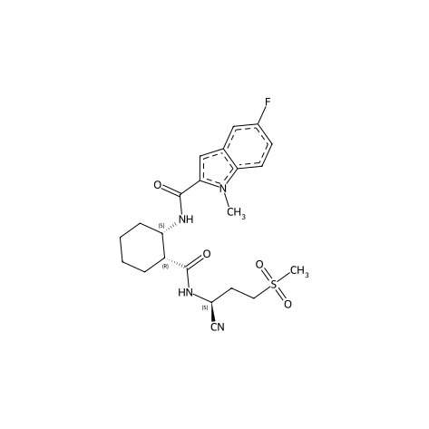 Cn1c(C(=O)N[C@H]2CCCC[C@H]2C(=O)N[C@H](C#N)CCS(C)(=O)=O)cc2cc(F)ccc21